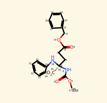 CC(C)(C)OC(=O)N[C@](CCC(=O)OCc1ccccc1)(Nc1ccccc1)C(=O)O